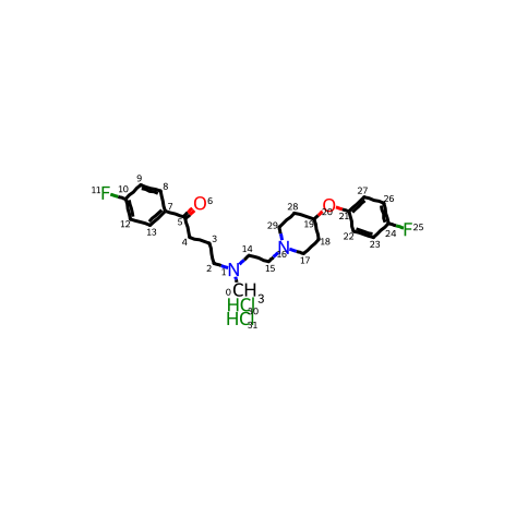 CN(CCCC(=O)c1ccc(F)cc1)CCN1CCC(Oc2ccc(F)cc2)CC1.Cl.Cl